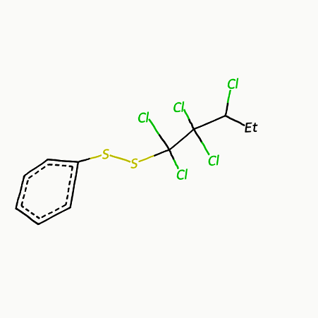 CCC(Cl)C(Cl)(Cl)C(Cl)(Cl)SSc1ccccc1